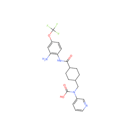 Nc1cc(OC(F)(F)F)ccc1NC(=O)C1CCC(CN(C(=O)O)c2cccnc2)CC1